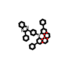 c1ccc(-c2ccc(-c3ccccc3)c(N(c3ccc(-c4nc5ccccc5nc4-c4ccccc4)cc3)c3cc(-c4ccccc4)ccc3-c3ccccc3)c2)cc1